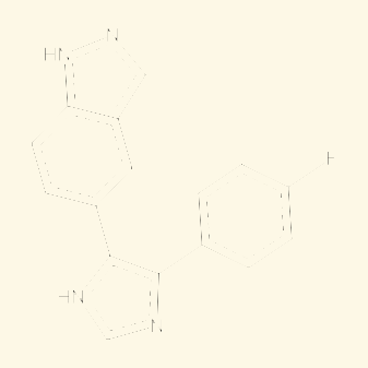 Fc1ccc(-c2nc[nH]c2-c2ccc3[nH]ncc3c2)cc1